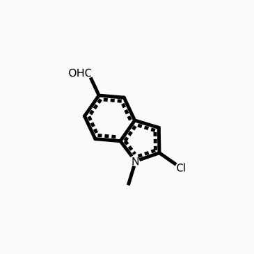 Cn1c(Cl)cc2cc(C=O)ccc21